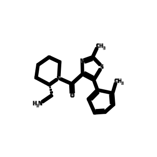 Cc1nc(C(=O)N2CCCC[C@H]2CN)c(-c2ccccc2C)s1